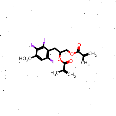 C=C(C)C(=O)OCC(Cc1c(I)cc(C(=O)O)c(I)c1I)OC(=O)C(=C)C